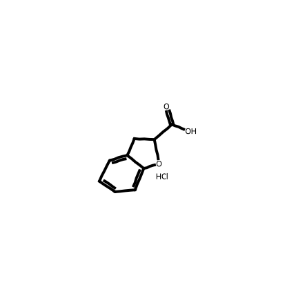 Cl.O=C(O)C1Cc2ccccc2O1